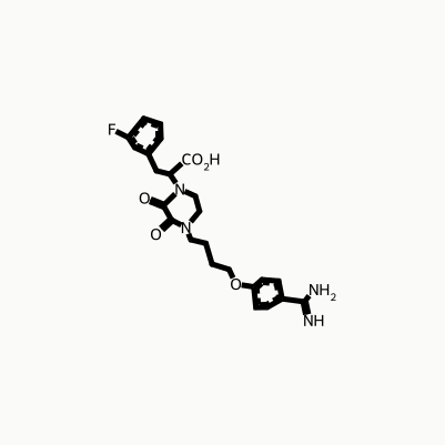 N=C(N)c1ccc(OCCCCN2CCN(C(Cc3cccc(F)c3)C(=O)O)C(=O)C2=O)cc1